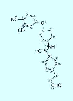 N#Cc1ccc(O[C@H]2CC[C@H](NC(=O)c3ccc(CCC=O)cc3)CC2)cc1Cl